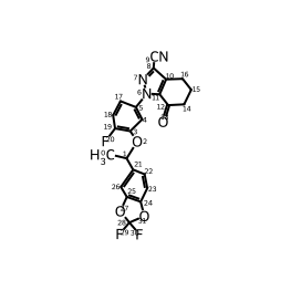 CC(Oc1cc(-n2nc(C#N)c3c2C(=O)CCC3)ccc1F)c1ccc2c(c1)OC(F)(F)O2